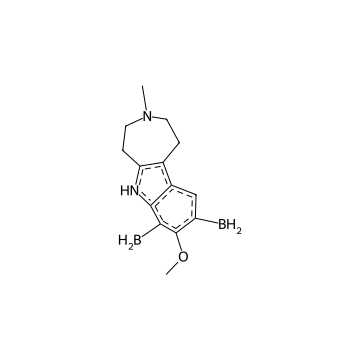 Bc1cc2c3c([nH]c2c(B)c1OC)CCN(C)CC3